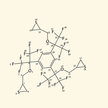 FC(F)(F)C(OCC1CS1)(c1cc(C(OCC2CS2)(C(F)(F)F)C(F)(F)F)cc(C(OCC2CS2)(C(F)(F)F)C(F)(F)F)c1)C(F)(F)F